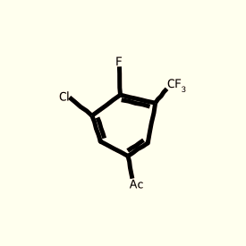 CC(=O)c1cc(Cl)c(F)c(C(F)(F)F)c1